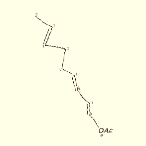 CC=CCCC=CC=COC(C)=O